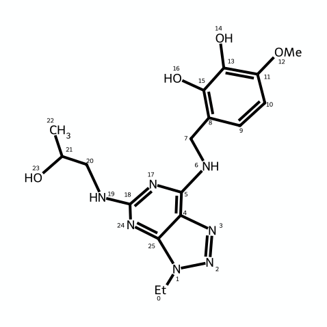 CCn1nnc2c(NCc3ccc(OC)c(O)c3O)nc(NCC(C)O)nc21